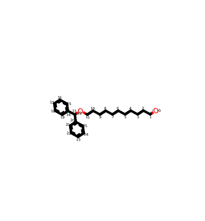 [O]CCCCCCCCCCCOC(c1ccccc1)c1ccccc1